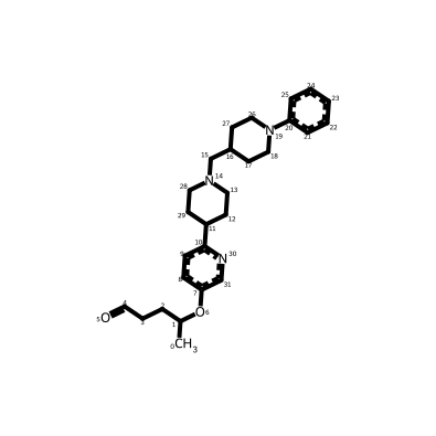 CC(CCC=O)Oc1ccc(C2CCN(CC3CCN(c4ccccc4)CC3)CC2)nc1